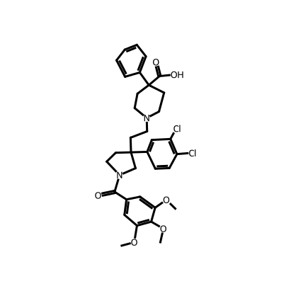 COc1cc(C(=O)N2CCC(CCN3CCC(C(=O)O)(c4ccccc4)CC3)(c3ccc(Cl)c(Cl)c3)C2)cc(OC)c1OC